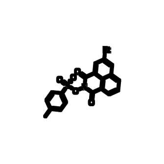 CCc1cc2c3c(cccc3c1)C(=O)N(OS(=O)(=O)c1ccc(C)cc1)C2=O